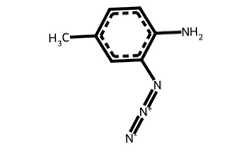 Cc1ccc(N)c(N=[N+]=[N-])c1